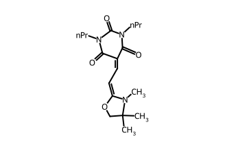 CCCN1C(=O)C(=C/C=C2/OCC(C)(C)N2C)C(=O)N(CCC)C1=O